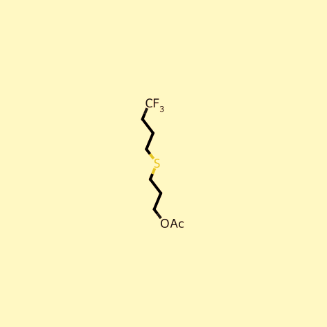 CC(=O)OCCCSCCCC(F)(F)F